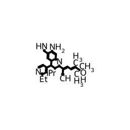 C#C/C(=C\C=C(/C)C(C)(C)O)C1N=C2C=C(N)C(C=N)=CC2C(c2ccnc(CC)c2)C1C(C)C